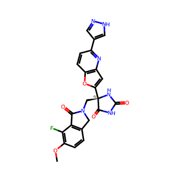 COc1ccc2c(c1F)C(=O)N(C[C@@]1(c3cc4nc(-c5cn[nH]c5)ccc4o3)NC(=O)NC1=O)C2